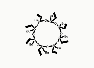 C=C[Si]1(C(C)CC)O[Si](C=C)(C(C)CC)O[Si](C=C)(C(C)CC)O[Si](C=C)(C(C)CC)O[Si](C=C)(C(C)CC)O[Si](C=C)(C(C)CC)O[Si](C=C)(C(C)CC)O[Si](C=C)(C(C)CC)O1